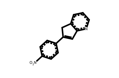 O=[N+]([O-])c1ccc(C2=Cc3ncccc3C2)cc1